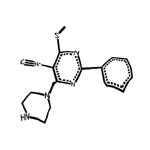 [C-]#[N+]c1c(SC)nc(-c2ccccc2)nc1N1CCNCC1